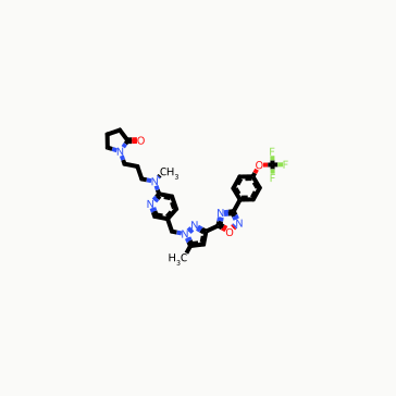 Cc1cc(-c2nc(-c3ccc(OC(F)(F)F)cc3)no2)nn1Cc1ccc(N(C)CCCN2CCCC2=O)nc1